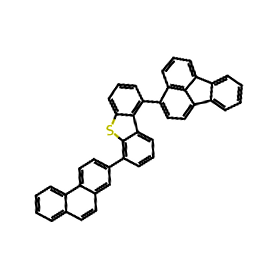 c1ccc2c(c1)-c1cccc3c(-c4cccc5sc6c(-c7ccc8c(ccc9ccccc98)c7)cccc6c45)ccc-2c13